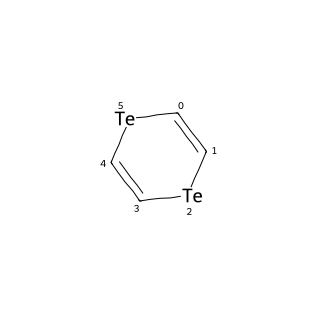 C1=C[Te]C=C[Te]1